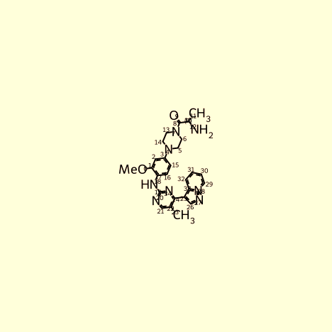 COc1cc(N2CCN(C(=O)[C@@H](C)N)CC2)ccc1Nc1ncc(C)c(-c2cnn3ccccc23)n1